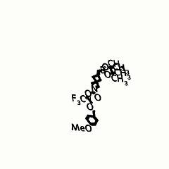 COc1ccc(COC[C@@H](OC(=O)N2CC3(CC(=CB4OC(C)(C)C(C)(C)O4)C3)C2)C(F)(F)F)cc1